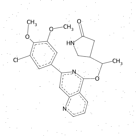 COc1cc(-c2cc3ncccc3c(OC(C)C3CNC(=O)C3)n2)cc(Cl)c1OC